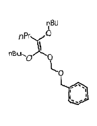 CCCCOC(CCC)=C(OCCCC)OCOCc1ccccc1